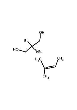 CC=C(C)C.CCCCC(CC)(CO)CO